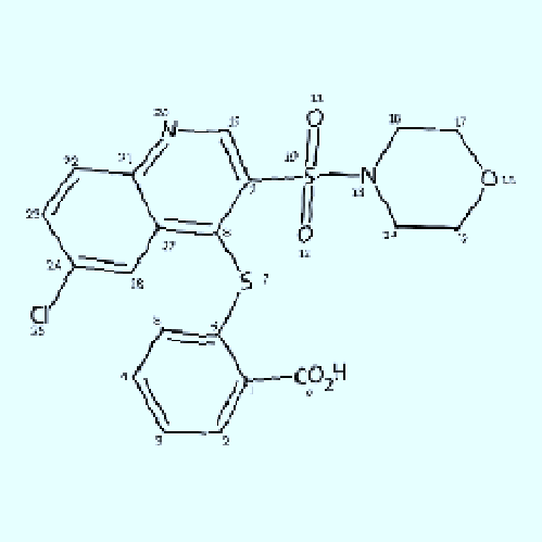 O=C(O)c1ccccc1Sc1c(S(=O)(=O)N2CCOCC2)cnc2ccc(Cl)cc12